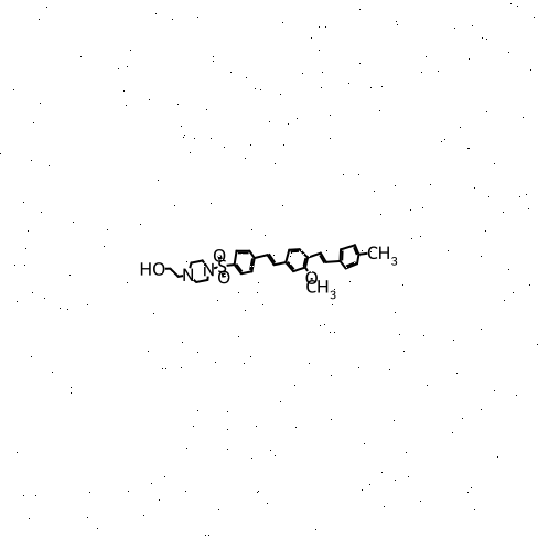 COc1cc(/C=C/c2ccc(S(=O)(=O)N3CCN(CCO)CC3)cc2)ccc1/C=C/c1ccc(C)cc1